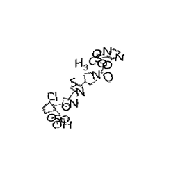 CS(=O)(=O)c1nccnc1OCC(=O)N1CCC(c2nc(C3=NOC(c4c(Cl)cccc4CS(=O)(=O)O)C3)cs2)CC1